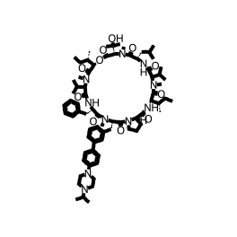 CC[C@H](C)[C@@H]1NC(=O)[C@@H]2CCCN2C(=O)[C@H](Cc2cccc(-c3ccc(N4CCN(C(C)C)CC4)cc3)c2)N(C)C(=O)[C@H](Cc2ccccc2)NC(=O)C(C(C)C)N(C)C(=O)[C@@H]([C@@H](C)CC)OC(=O)[C@H](C(C)(C)O)N(C)C(=O)[C@H](CC(C)C)NC(=O)C(C(C)C)N(C)C1=O